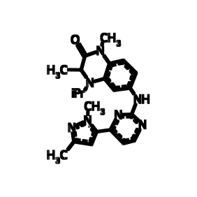 Cc1cc(-c2ccnc(Nc3ccc4c(c3)N(C(C)C)C(C)C(=O)N4C)n2)n(C)n1